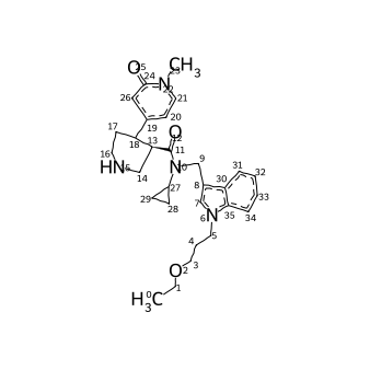 CCOCCCn1cc(CN(C(=O)[C@H]2CNCCC2c2ccn(C)c(=O)c2)C2CC2)c2ccccc21